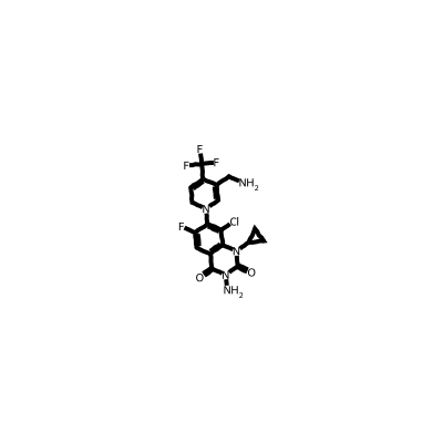 NCC1=CN(c2c(F)cc3c(=O)n(N)c(=O)n(C4CC4)c3c2Cl)CC=C1C(F)(F)F